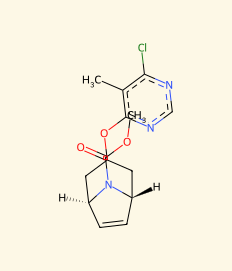 COC(=O)N1[C@H]2C=C[C@H]1CC(Oc1ncnc(Cl)c1C)C2